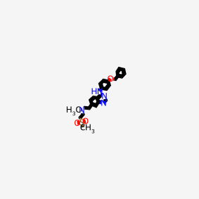 CN(CCc1ccc2c(Nc3ccc(OCc4ccccc4)cc3)ncnc2c1)CCS(C)(=O)=O